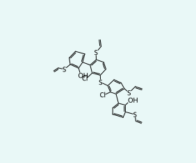 C=CSc1cccc(-c2c(SC=C)ccc(Sc3ccc(SC=C)c(-c4cccc(SC=C)c4O)c3Cl)c2Cl)c1O